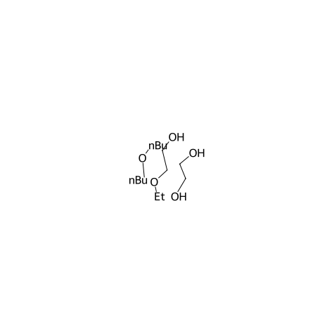 CCCCOCCCC.CCOCCO.OCCO